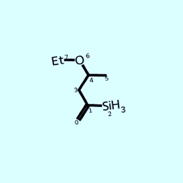 C=C([SiH3])CC(C)OCC